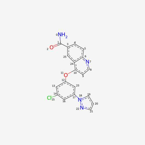 NC(=O)c1ccc2nccc(Oc3cc(Cl)cc(-n4cccn4)c3)c2c1